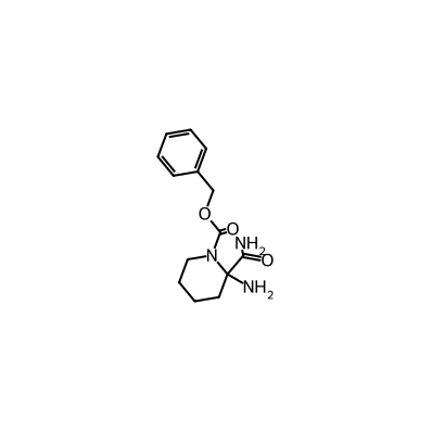 NC(=O)C1(N)CCCCN1C(=O)OCc1ccccc1